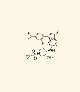 O=S(=O)(C1CC1)N1CC[C@@H](Nc2ncc3c(F)cc(-c4ccc(C(F)F)cc4F)n3n2)[C@H](O)C1